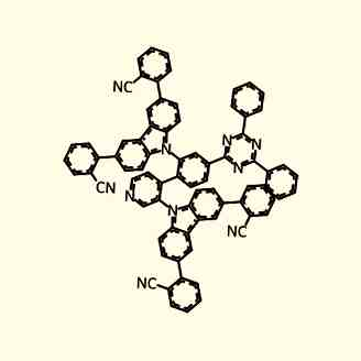 N#Cc1ccccc1-c1ccc2c(c1)c1cc(-c3ccccc3C#N)ccc1n2-c1cnccc1-c1ccc(-c2nc(-c3ccccc3)nc(-c3ccccc3)n2)cc1-n1c2ccc(-c3ccccc3C#N)cc2c2cc(-c3ccccc3C#N)ccc21